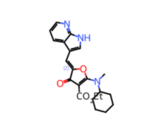 CCOC(=O)C1=C(N(C)C2CCCCC2)O/C(=C\c2c[nH]c3ncccc23)C1=O